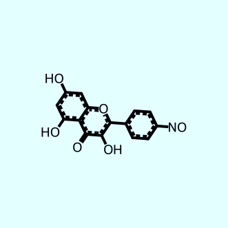 O=Nc1ccc(-c2oc3cc(O)cc(O)c3c(=O)c2O)cc1